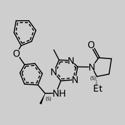 CC[C@H]1CCC(=O)N1c1nc(C)nc(N[C@@H](C)c2ccc(Oc3ccccc3)cc2)n1